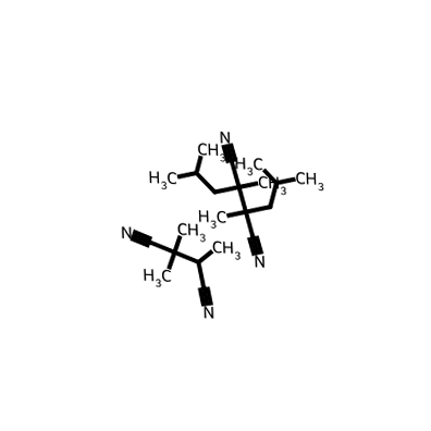 CC(C#N)C(C)(C)C#N.CC(C)CC(C)(C#N)C(C)(C#N)CC(C)C